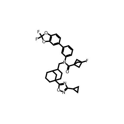 O=C(N(CC1CCC2(c3nc(C4CC4)no3)CCCC1C2)c1cccc(-c2ccc3c(c2)OC(F)(F)O3)c1)C12CC(F)(C1)C2